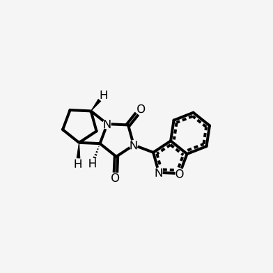 O=C1[C@H]2[C@@H]3CC[C@@H](C3)N2C(=O)N1c1noc2ccccc12